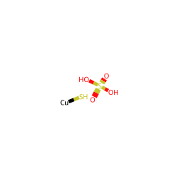 O=S(=O)(O)O.[SH][Cu]